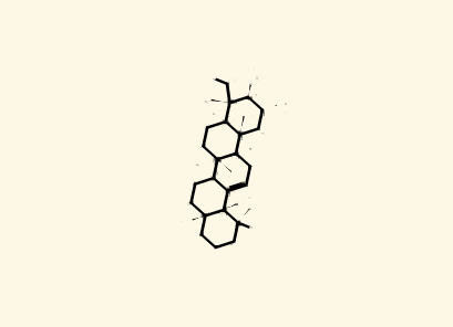 C[C@@H]1CC[C@]2(C(=O)O)CC[C@]3(C)C(=CC[C@@H]4[C@@]5(C)C[C@@H](O)[C@H](O)[C@@](C)(CO)[C@@H]5CC[C@]43C)[C@@H]2[C@]1(C)O